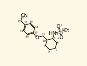 CCS(=O)(=O)NC1CCCCC1COc1ccc(CC#N)cc1